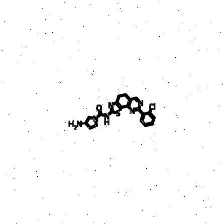 N[C@@H]1CCN(C(=O)Nc2nc3c(s2)-c2nc(-c4ccccc4Cl)ncc2CC3)C1